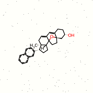 C[C@]12CC=C3C=C4CC[C@H](O)C[C@]45CCC3(O5)[C@@H]1CC[C@@H]2c1ccc2ccccc2c1